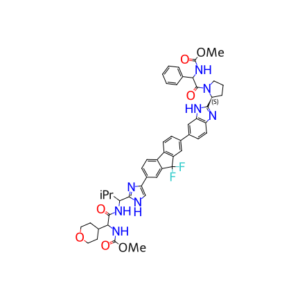 COC(=O)NC(C(=O)N1CCC[C@H]1c1nc2ccc(-c3ccc4c(c3)C(F)(F)c3cc(-c5c[nH]c(C(NC(=O)C(NC(=O)OC)C6CCOCC6)C(C)C)n5)ccc3-4)cc2[nH]1)c1ccccc1